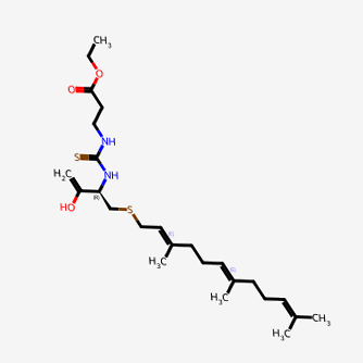 C=C(O)[C@H](CSC/C=C(\C)CC/C=C(\C)CCC=C(C)C)NC(=S)NCCC(=O)OCC